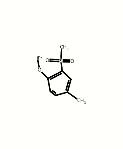 Cc1ccc(OC(C)C)c(S(C)(=O)=O)c1